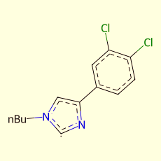 CCCCn1[c]nc(-c2ccc(Cl)c(Cl)c2)c1